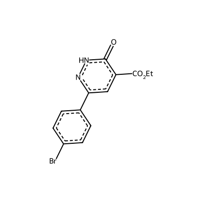 CCOC(=O)c1cc(-c2ccc(Br)cc2)n[nH]c1=O